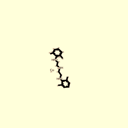 Cc1cccc(C)c1NCCNCCNc1c(C)cccc1C.[Co]